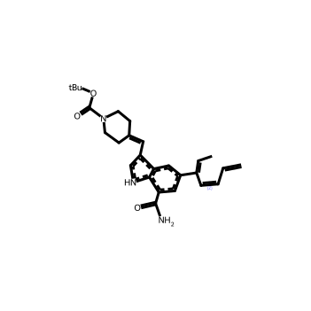 C=C/C=C\C(=CC)c1cc(C(N)=O)c2[nH]cc(C=C3CCN(C(=O)OC(C)(C)C)CC3)c2c1